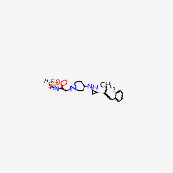 CC/C(=C\c1ccccc1)[C@@H]1C[C@H]1NC1CCN(CC(=O)NS(C)(=O)=O)CC1